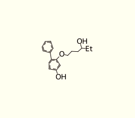 CCC(O)CCCOc1cc(O)ccc1-c1ccccc1